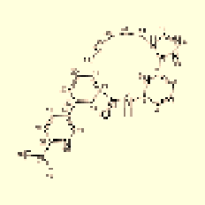 O=C1Nc2cccc(n2)-c2nncn2CCCOCc2ccc(-c3ccc(C(F)F)nc3)cc21